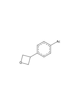 CC(=O)c1ccc(C2COC2)cc1